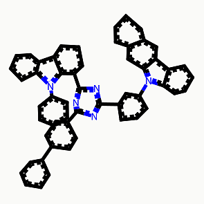 c1ccc(-c2ccc(-c3nc(-c4cccc(-n5c6ccccc6c6cc7ccccc7cc65)c4)nc(-c4cccc5c6ccccc6n(-c6ccccc6)c45)n3)cc2)cc1